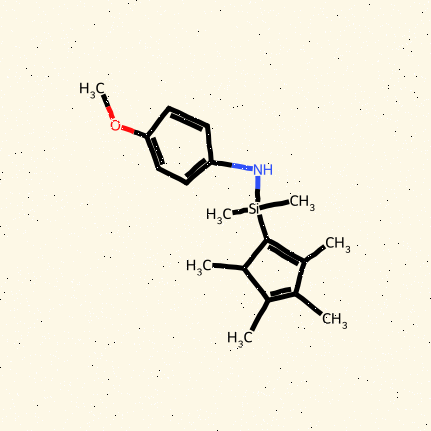 COc1ccc(N[Si](C)(C)C2=C(C)C(C)=C(C)C2C)cc1